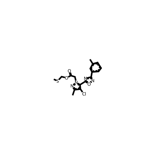 CSCOC(=O)Cn1nc(C)c(Cl)c1-c1nc(-c2cccc(C)c2)no1